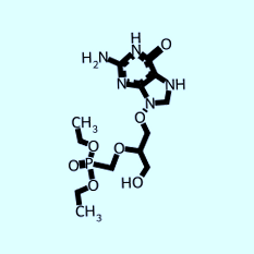 CCOP(=O)(COC(CO)CON1CNc2c1nc(N)[nH]c2=O)OCC